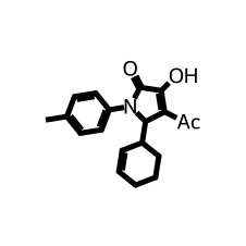 CC(=O)C1=C(O)C(=O)N(c2ccc(C)cc2)C1C1C=CCCC1